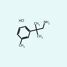 Cc1cccc(C(C)(C)CN)c1.Cl